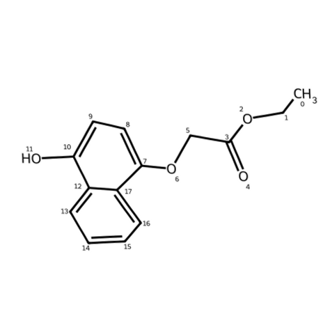 CCOC(=O)COc1ccc(O)c2ccccc12